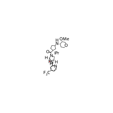 CO[C@@H]1COCC[C@@H]1N[C@@H]1CC[C@@](C(=O)N2C[C@@H]3[C@H](F)[C@H]2CN3c2cc(C(F)(F)F)ccn2)(C(C)C)C1